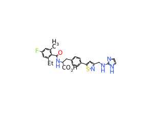 CCc1cc(F)cc(C)c1C(=O)NC(Cc1ccc(-c2cc(CNc3ncc[nH]3)ns2)cc1)C(=O)O